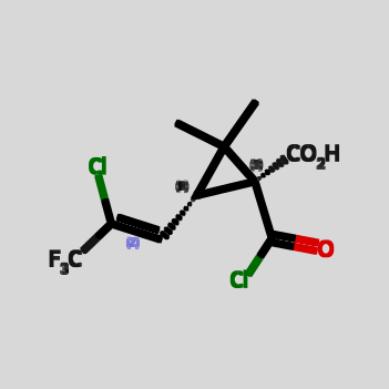 CC1(C)[C@@H](/C=C(\Cl)C(F)(F)F)[C@]1(C(=O)O)C(=O)Cl